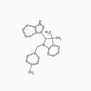 Cc1ccc(CN2c3ccccc3C(C)(C)C2c2c[nH]c3ccccc23)cc1